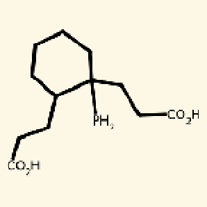 O=C(O)CCC1CCCCC1(P)CCC(=O)O